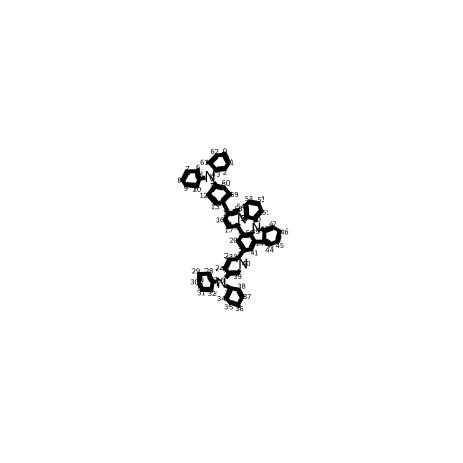 c1ccc(N(c2ccccc2)c2ccc(-c3ccc(-c4cc(-c5ccc(N(c6ccccc6)c6ccccc6)cn5)cc5c6ccccc6n(-c6ccccc6)c45)nc3)cc2)cc1